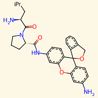 CC(C)C[C@H](N)C(=O)N1CCC[C@H]1C(=O)Nc1ccc2c(c1)Oc1cc(N)ccc1C21OCc2ccccc21